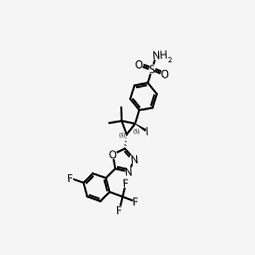 CC1(C)[C@@H](c2nnc(-c3cc(F)ccc3C(F)(F)F)o2)[C@@]1(I)c1ccc(S(N)(=O)=O)cc1